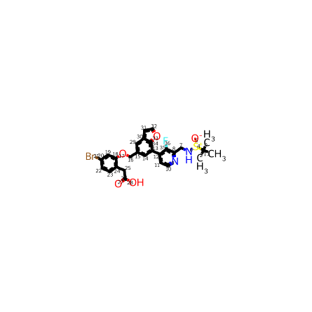 CC(C)(C)[S@+]([O-])NCc1nccc(-c2cc(COc3cc(Br)ccc3CC(=O)O)cc3ccoc23)c1F